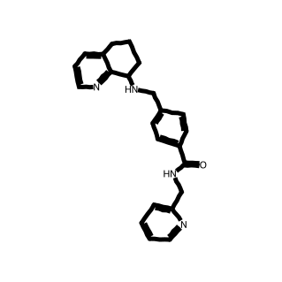 O=C(NCc1ccccn1)c1ccc(CNC2CCCc3cccnc32)cc1